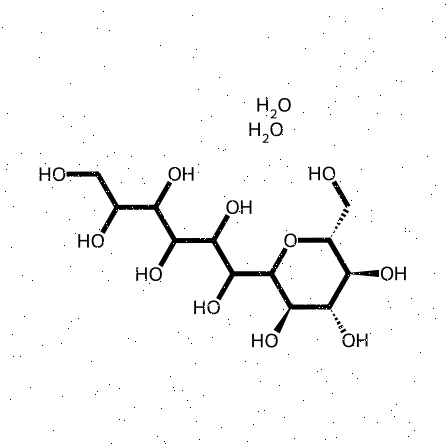 O.O.OCC(O)C(O)C(O)C(O)C(O)C1O[C@H](CO)[C@@H](O)[C@H](O)[C@H]1O